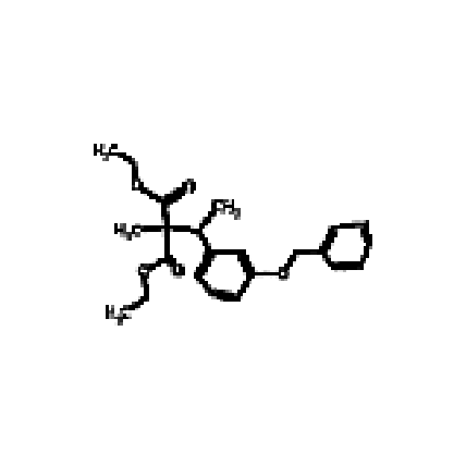 CCOC(=O)C(C)(C(=O)OCC)C(C)c1cccc(OCc2ccccc2)c1